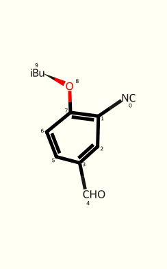 [C-]#[N+]c1cc(C=O)ccc1O[C@H](C)CC